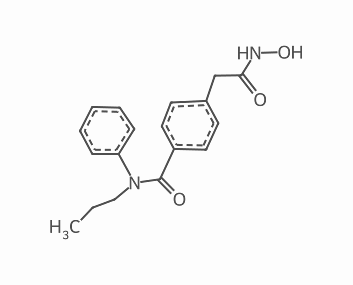 CCCN(C(=O)c1ccc(CC(=O)NO)cc1)c1ccccc1